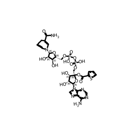 NC(=O)C1=CN([C@@H]2O[C@H](COP(=O)(O)OP(=O)(O)OC[C@]3(OC(=O)c4cccs4)O[C@@H](n4cnc5c(N)ncnc54)[C@H](O)[C@@H]3O)[C@@H](O)[C@H]2O)C=CC1